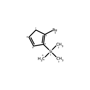 C[Si](C)(C)C1=[C]([Ru])CC=C1